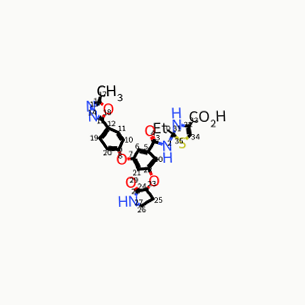 CC[C@@]1(NC(=O)c2cc(Oc3ccc(-c4nnc(C)o4)cc3)cc(OC3CCNC3=O)c2)NC(C(=O)O)=CS1